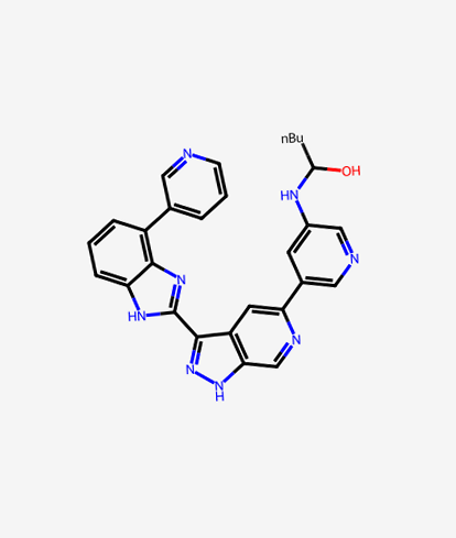 CCCCC(O)Nc1cncc(-c2cc3c(-c4nc5c(-c6cccnc6)cccc5[nH]4)n[nH]c3cn2)c1